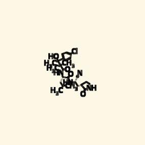 CC(C)C[C@H](NC(=O)C(C)(C)[C@](C)(O)c1ccc(Cl)cc1)C(=O)N[C@H](C#N)C[C@@H]1CCNC1=O